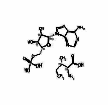 CC[C@H](C)[C@H](N)C(=O)O.Nc1ncnc2c1ncn2[C@@H]1O[C@H](COP(=O)(O)O)[C@@H](O)[C@H]1O